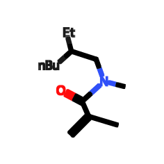 C=C(C)C(=O)N(C)CC(CC)CCCC